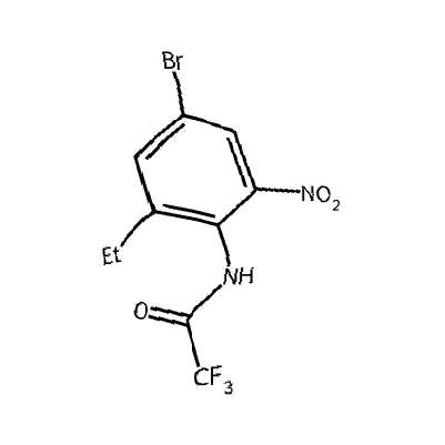 CCc1cc(Br)cc([N+](=O)[O-])c1NC(=O)C(F)(F)F